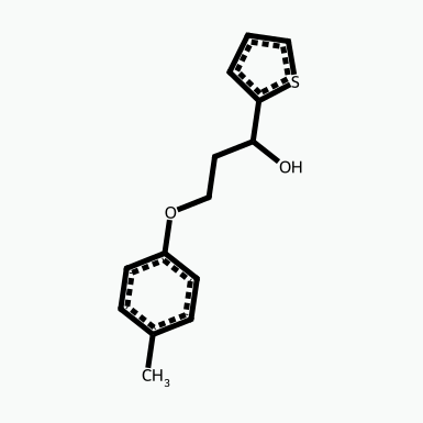 Cc1ccc(OCCC(O)c2cccs2)cc1